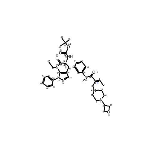 C/C=C(\CN1CCN(C2COC2)CC1)C(=O)N(C)c1cccc([C@@H]2c3cnn(-c4ccccc4)c3N(CC)C(=O)[C@H]2NC(=O)OC(C)(C)C)c1